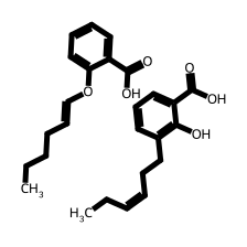 CC/C=C\CCc1cccc(C(=O)O)c1O.CCCCC=COc1ccccc1C(=O)O